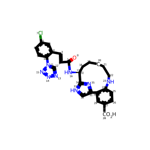 O=C(C=Cc1cc(Cl)ccc1-n1cnnn1)N[C@H]1CCCCCNc2ccc(C(=O)O)cc2-c2c[nH]c1n2